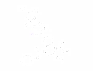 C=C(/C=C\C(=C)S(=O)(=O)CC(C)C)c1ccc2c(c1)N(C(=O)OC1CCOCC1)CC(C)N2C(C)=O